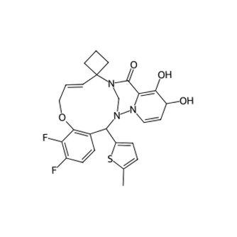 Cc1ccc(C2c3ccc(F)c(F)c3OC/C=C/C3(CCC3)N3CN2N2C=CC(O)C(O)=C2C3=O)s1